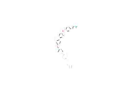 CCOCC1CCC(C2C=C(F)C(C(F)(F)Oc3ccc(-c4cc(F)c(C(F)(F)Oc5ccc(/C=C/C(F)(F)F)cc5)c(Cl)c4)c(F)c3)=C(F)C2)OC1